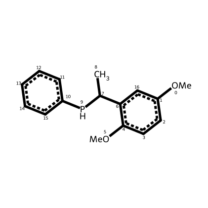 COc1ccc(OC)c(C(C)Pc2ccccc2)c1